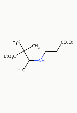 CCOC(=O)CCNC(C)C(C)(C)C(=O)OCC